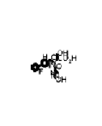 CC(CO)(C[C@@H](Cc1ccc(-c2ccccc2F)cc1)NC(=O)c1cn(O)nn1)C(=O)O